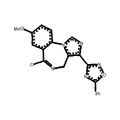 COc1ccc2c(c1)C(Cl)=NCc1c(-c3noc(C(C)C)n3)ncn1-2